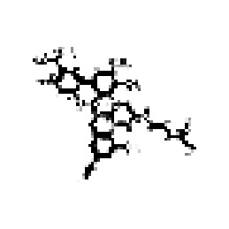 Cc1cc(C#N)cc(CN(Cc2cc(C)c(C)cc2-c2cc(C(C)C)c(F)cc2C)c2ncc(OCCCC(=O)O)cn2)c1